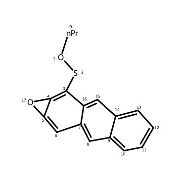 CCCOSc1c2c(cc3cc4ccccc4cc13)O2